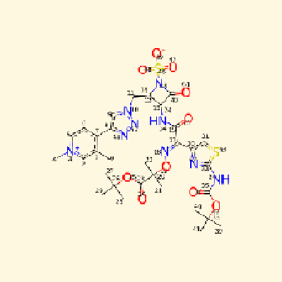 Cc1c[n+](C)ccc1-c1cn(C[C@@H]2[C@H](NC(=O)C(=NOC(C)(C)C(=O)OC(C)(C)C)c3csc(NC(=O)OC(C)(C)C)n3)C(=O)N2S(=O)(=O)[O-])nn1